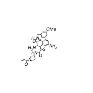 C=CC(=O)N1CCC(NC(=O)c2sc3c(N)ccc4c3c2C(N)C(=O)C4(N)c2ccc(OC)cc2C)C1